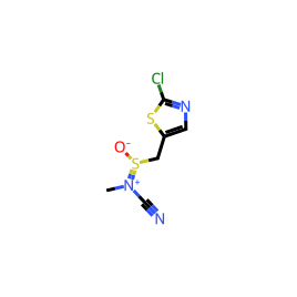 C[N+](C#N)=S([O-])Cc1cnc(Cl)s1